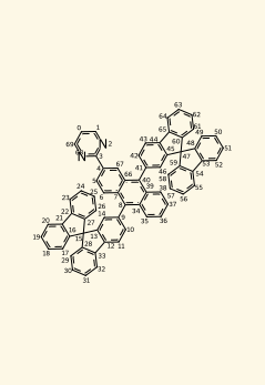 c1cnc(-c2ccc3c(-c4ccc5c(c4)C4(c6ccccc6-c6ccccc64)c4ccccc4-5)c4ccccc4c(-c4ccc5c(c4)C4(c6ccccc6-c6ccccc64)c4ccccc4-5)c3c2)nc1